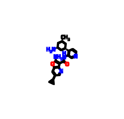 C[C@H]1C[C@@H](N)C[C@@H](c2ccncc2NC(=O)c2c(N)oc3cc(C4CC4)cnc23)C1